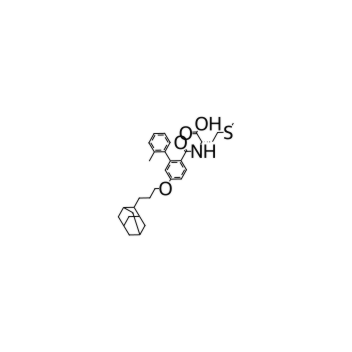 CSCC[C@H](NC(=O)c1ccc(OCCCC2C3CC4CC(C3)CC2C4)cc1-c1ccccc1C)C(=O)O